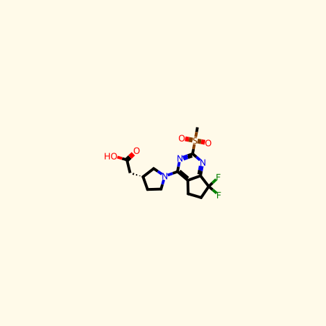 CS(=O)(=O)c1nc(N2CC[C@H](CC(=O)O)C2)c2c(n1)C(F)(F)CC2